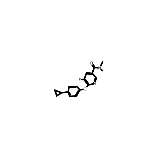 CN(C)C(=O)c1cnc(Oc2ccc(C3CC3)cc2)c(F)c1